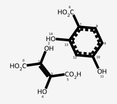 O=C(O)C(O)=C(O)C(=O)O.O=C(O)c1ccc(O)cc1O